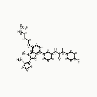 CCn1c(-c2nonc2N)nc2c(-c3cccc(NC(=O)Nc4ccc(Cl)cc4)c3)ncc(OCCCNC(=O)O)c21